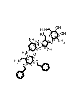 NC[C@@H]1O[C@H](O[C@@H]2C(CO)O[C@@H](O[C@@H]3[C@@H](O)[C@H](N)C[C@H](N)[C@H]3O[C@H]3O[C@H](CN)[C@@H](OCc4ccccc4)[C@H](F)[C@H]3OCc3ccccc3)[C@@H]2O)[C@H](N)[C@@H](O)[C@@H]1O